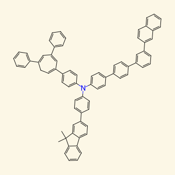 CC1(C)c2ccccc2-c2ccc(-c3ccc(N(c4ccc(C5=CCC(c6ccccc6)=CC(c6ccccc6)=C5)cc4)c4ccc(-c5ccc(-c6cccc(-c7ccc8ccccc8c7)c6)cc5)cc4)cc3)cc21